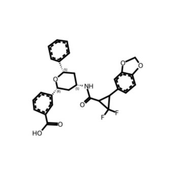 O=C(O)c1cccc([C@H]2C[C@@H](NC(=O)C3C(c4ccc5c(c4)OCO5)C3(F)F)C[C@@H](c3ccccc3)O2)c1